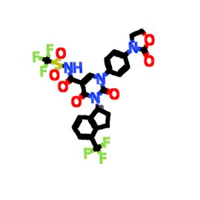 O=C(NS(=O)(=O)C(F)(F)F)c1cn(-c2ccc(N3CCOC3=O)cc2)c(=O)n([C@@H]2CCc3c2cccc3C(F)(F)F)c1=O